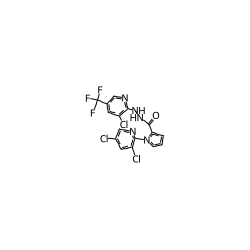 O=C(NNc1ncc(C(F)(F)F)cc1Cl)c1cccn1-c1ncc(Cl)cc1Cl